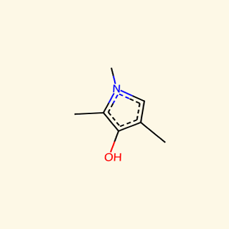 Cc1cn(C)c(C)c1O